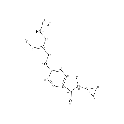 O=C(O)NCC(=CF)COc1cc2c(cn1)C(=O)N(C1CC1)C2